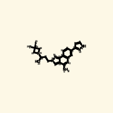 Nc1nc2cc(-c3cc[nH]n3)ccc2c2nn(CCC(O)N3CC(F)(F)C3)cc12